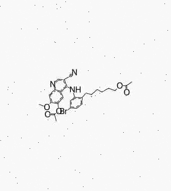 COc1cc2ncc(C#N)c(Nc3cc(Br)ccc3C[CH]CCCCOC(C)=O)c2cc1OC(C)=O